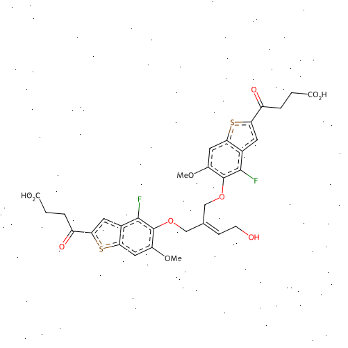 COc1cc2sc(C(=O)CCC(=O)O)cc2c(F)c1OCC(=CCO)COc1c(OC)cc2sc(C(=O)CCC(=O)O)cc2c1F